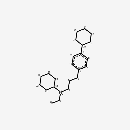 CCN(CCCc1ccc(C2CCCCC2)cc1)C1CCCCC1